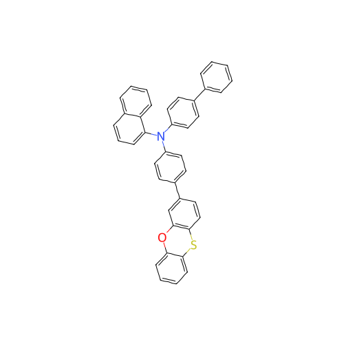 c1ccc(-c2ccc(N(c3ccc(-c4ccc5c(c4)Oc4ccccc4S5)cc3)c3cccc4ccccc34)cc2)cc1